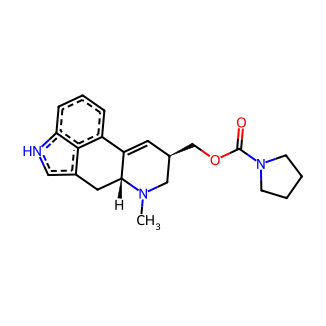 CN1C[C@H](COC(=O)N2CCCC2)C=C2c3cccc4[nH]cc(c34)C[C@H]21